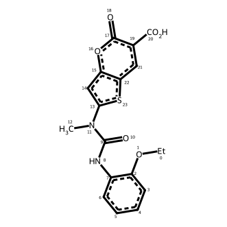 CCOc1ccccc1NC(=O)N(C)c1cc2oc(=O)c(C(=O)O)cc2s1